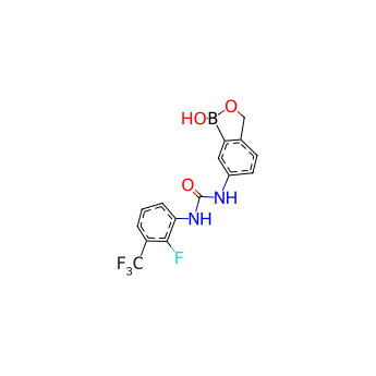 O=C(Nc1ccc2c(c1)B(O)OC2)Nc1cccc(C(F)(F)F)c1F